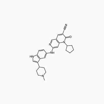 CN1CCC(c2c[nH]c3ccc(Nc4cc5c(cn4)cc(C#N)c(=O)n5C4CCCC4)cc23)CC1